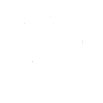 COC(=O)c1c(CO)cc(N(C)C)nc1C